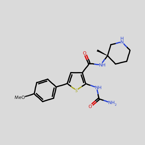 COc1ccc(-c2cc(C(=O)N[C@@]3(C)CCCNC3)c(NC(N)=O)s2)cc1